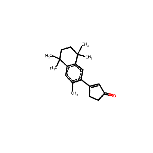 Cc1cc2c(cc1C1=CC(=O)CC1)C(C)(C)CCC2(C)C